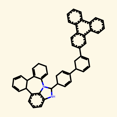 C1=CC(C2=CCC(C3Nc4cccc5c4N3C3=CCCC=C3C3C=CC=CC53)C=C2)CC(c2ccc3c4ccccc4c4ccccc4c3c2)=C1